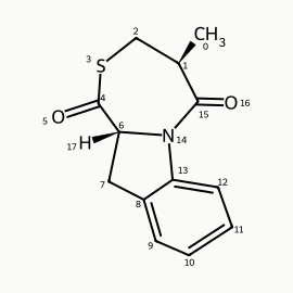 C[C@@H]1CSC(=O)[C@H]2Cc3ccccc3N2C1=O